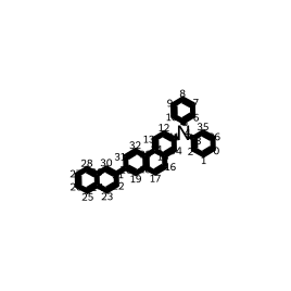 c1ccc(N(c2ccccc2)c2ccc3c(ccc4cc(-c5ccc6ccccc6c5)ccc43)c2)cc1